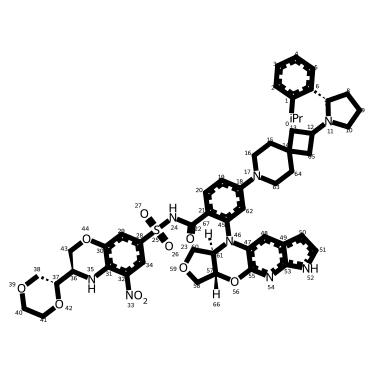 CC(C)c1ccccc1[C@@H]1CCCN1C1CC2(CCN(c3ccc(C(=O)NS(=O)(=O)c4cc5c(c([N+](=O)[O-])c4)N[C@@H]([C@H]4COCCO4)CO5)c(N4c5cc6cc[nH]c6nc5O[C@@H]5COC[C@H]54)c3)CC2)C1